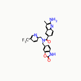 Cc1cc2cc(C(=O)N(Cc3ccc4[nH]c(=O)oc4c3)Cc3ccc(C(F)(F)F)cn3)ccc2nc1N